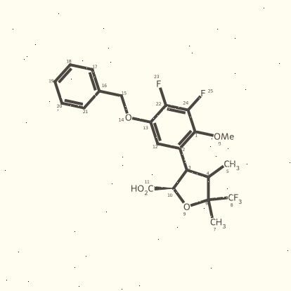 COc1c(C2C(C)C(C)(C(F)(F)F)O[C@H]2C(=O)O)cc(OCc2ccccc2)c(F)c1F